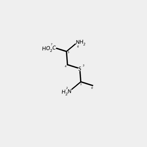 CC(N)SCC(N)C(=O)O